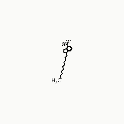 CCCCCCCCCCCCC1CCc2c1cccc2[N+](=O)[O-]